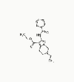 CCOC(=O)c1c(NC(=O)c2ccccc2)sc2c1CCN(CC)C2